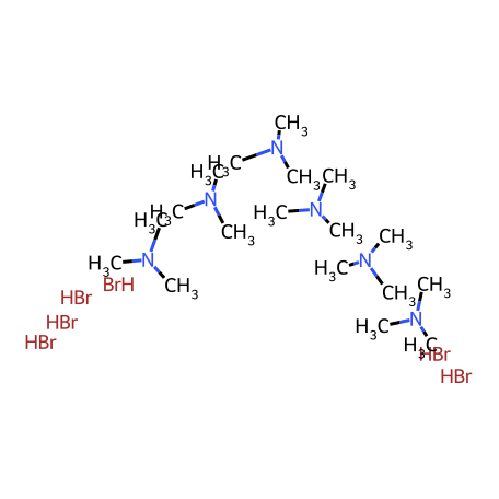 Br.Br.Br.Br.Br.Br.CN(C)C.CN(C)C.CN(C)C.CN(C)C.CN(C)C.CN(C)C